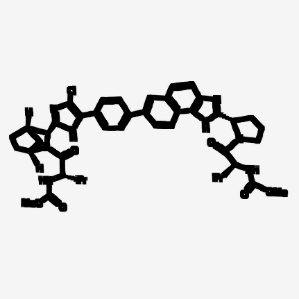 COC(=O)N[C@H](C(=O)N1CCC[C@H]1c1nc2ccc3cc(-c4ccc(-c5[nH]c([C@@H]6[C@H]7CC[C@H](C7)N6C(=O)[C@@H](NC(=O)OC)C(C)C)nc5Cl)cc4)ccc3c2[nH]1)C(C)C